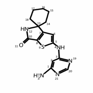 Nc1cc(Nc2cc3c(s2)C(=O)NC32CCCCC2)ncn1